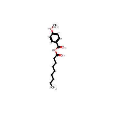 CCCCCCCCC(=O)OC(=O)c1ccc(OC)cc1